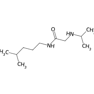 CC(C)CCCNC(=O)CNC(C)C